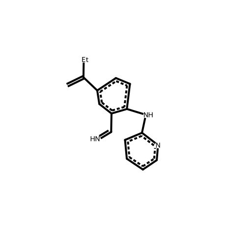 C=C(CC)c1ccc(Nc2ccccn2)c(C=N)c1